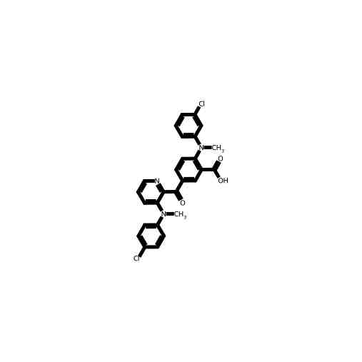 CN(c1cccc(Cl)c1)c1ccc(C(=O)c2ncccc2N(C)c2ccc(Cl)cc2)cc1C(=O)O